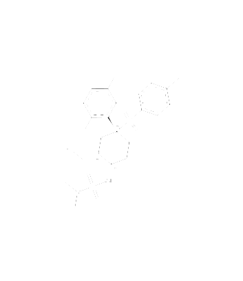 Cc1ccc(S(=O)(=O)[C@]2(c3cc(F)ccc3F)CC[C@H](NS(=O)(=O)N(C)C)[C@H](CO)C2)cc1